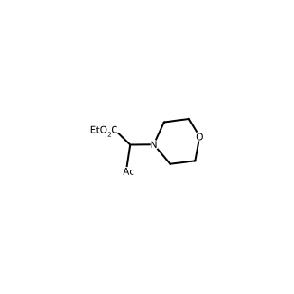 CCOC(=O)C(C(C)=O)N1CCOCC1